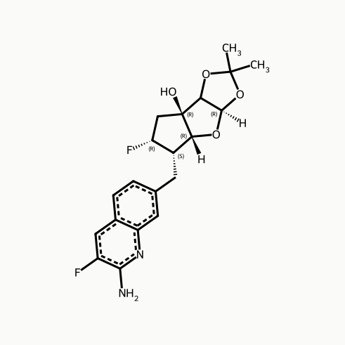 CC1(C)OC2[C@H](O[C@@H]3[C@H](Cc4ccc5cc(F)c(N)nc5c4)[C@H](F)C[C@]23O)O1